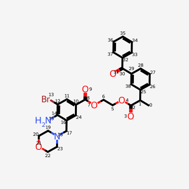 CC(C(=O)OCCOC(=O)c1cc(Br)c(N)c(CN2CCOCC2)c1)c1cccc(C(=O)c2ccccc2)c1